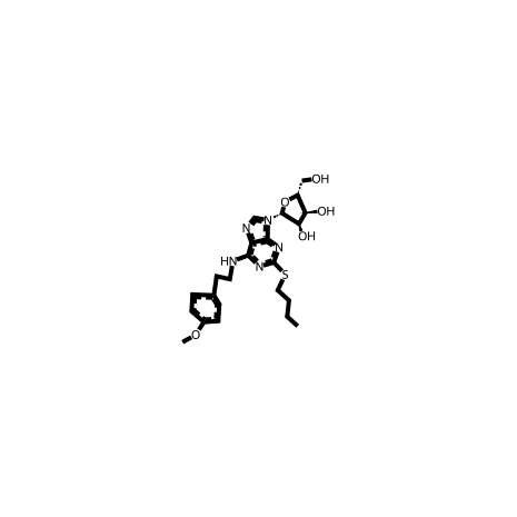 CCCCSc1nc(NCCc2ccc(OC)cc2)c2ncn([C@@H]3O[C@H](CO)[C@@H](O)[C@H]3O)c2n1